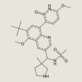 COc1ccc(-c2cc(C(C)(C)C)c(OC)c3cc(C(NS(C)(=O)=O)C4(C)CCNC4)cnc23)c(=O)[nH]1